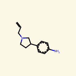 C=CCN1CCC(c2ccc(N)cc2)C1